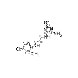 Cc1cc(Cl)cnc1NCCCNc1n[s+]([O-])nc1N